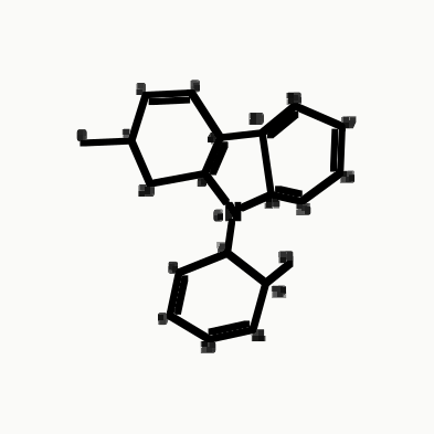 CC1C=Cc2c(n(C3C=CC=CC3C)c3ccccc23)C1